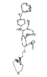 COc1c(OCCCN2CCOCC2)ccc2c(Nc3ccc(Oc4ccncc4)cc3)c(C#N)cnc12